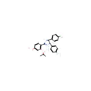 COc1ccc(C2=N[C@@](C)(c3ccc(Cl)cc3)[C@@](C)(c3ccc(Cl)cc3)N2)c(OC(C)C)c1